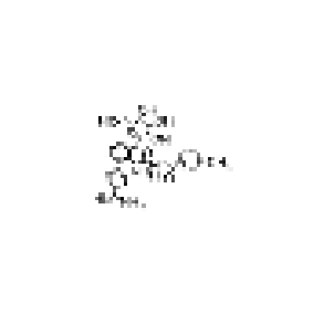 CN1CCCN(C(=O)CNC(=O)C(Nc2cccc(C(=N)N)c2)c2ccccc2OC2OC(CO)C(O)C(O)C2O)CC1